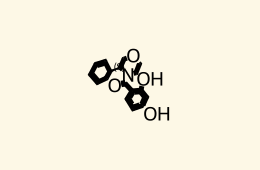 O=C(c1ccc(O)cc1O)N1CCOC[C@@H]1C1C=CC=CC1